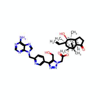 C=C[C@]1(C)C[C@@H](OC(=O)Cn2nnc(-c3ccc(Cn4cnc5c(N)ncnc54)nc3)c2CO)[C@]2(C)[C@H](C)CC[C@]3(CCC(=O)[C@H]32)[C@@H](C)[C@@H]1O